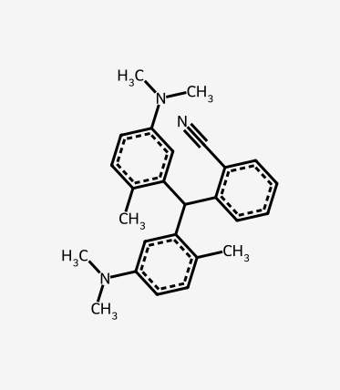 Cc1ccc(N(C)C)cc1C(c1cc(N(C)C)ccc1C)c1ccccc1C#N